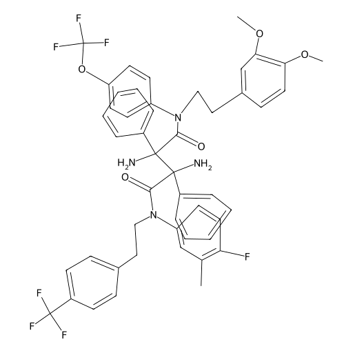 COc1ccc(CCN(C(=O)C(N)(c2ccccc2)C(N)(C(=O)N(CCc2ccc(C(F)(F)F)cc2)c2ccc(F)c(C)c2)c2ccccc2)c2ccc(OC(F)(F)F)cc2)cc1OC